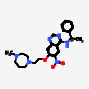 C[C@@H](Nc1ncnc2cc(OCCN3CCCN(C)CC3)c([N+](=O)[O-])cc12)c1ccccc1